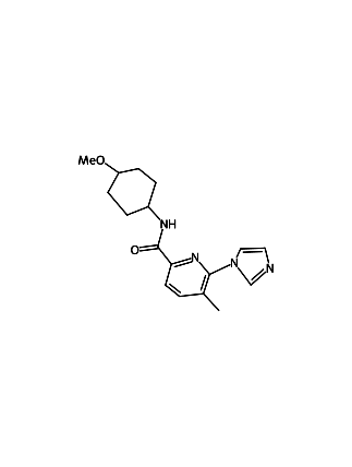 COC1CCC(NC(=O)c2ccc(C)c(-n3ccnc3)n2)CC1